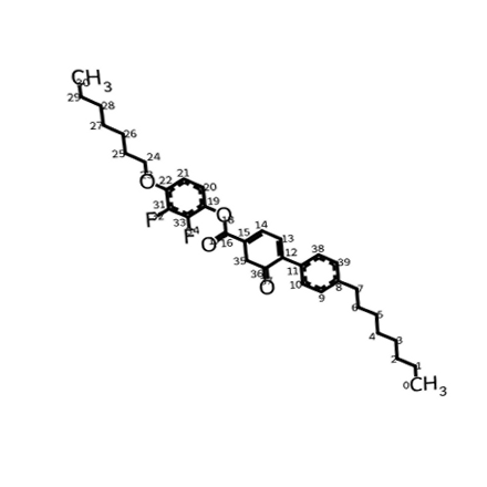 CCCCCCCCc1ccc(C2=CC=C(C(=O)Oc3ccc(OCCCCCCC)c(F)c3F)CC2=O)cc1